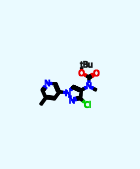 Cc1cncc(-n2cc(N(C)C(=O)OC(C)(C)C)c(Cl)n2)c1